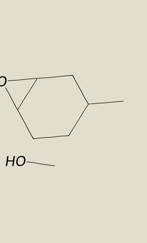 CC1CCC2OC2C1.CO